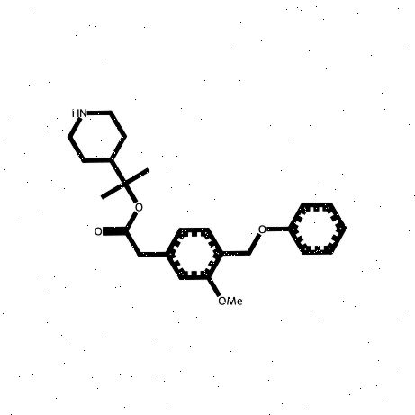 COc1cc(CC(=O)OC(C)(C)C2CCNCC2)ccc1COc1ccccc1